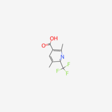 Cc1cc(C(=O)O)c(C)nc1C(F)(F)F